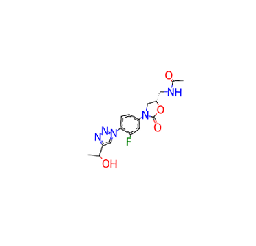 CC(=O)NC[C@H]1CN(c2ccc(-n3cc(C(C)O)nn3)c(F)c2)C(=O)O1